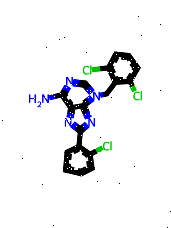 Nc1ncn(Cc2c(Cl)cccc2Cl)c2nc(-c3ccccc3Cl)nc1-2